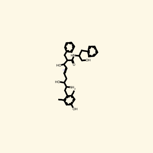 Cc1cc(O)cc(C)c1CC(N)C(O)C/C=C/C(O)C(Cc1ccccc1)C(=O)NC(CO)Cc1ccccc1